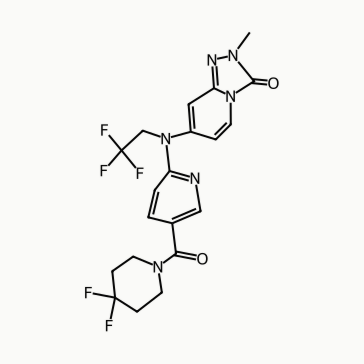 Cn1nc2cc(N(CC(F)(F)F)c3ccc(C(=O)N4CCC(F)(F)CC4)cn3)ccn2c1=O